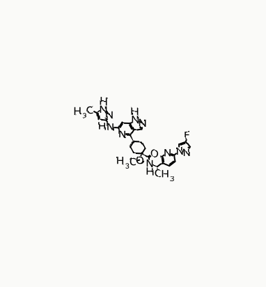 CO[C@]1(C(=O)N[C@@H](C)c2ccc(-n3cc(F)cn3)nc2)CC[C@H](c2nc(Nc3cc(C)[nH]n3)cc3[nH]ncc32)CC1